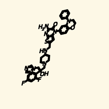 Nc1nc2sc(CNC3CCN(CC(O)(Cn4cncn4)c4ccc(F)cc4F)CC3)cc2n(-c2ccc3c(c2)N(c2ccccc2)CCO3)c1=O